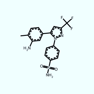 Cc1ccc(-c2cc(C(F)(F)F)nn2-c2ccc(S(N)(=O)=O)cc2)cc1N